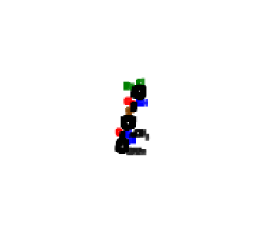 COc1cccc2c(=O)n(-c3ccc(SCC(=O)Nc4ccc(Cl)c(Br)c4)cc3)c(C)nc12